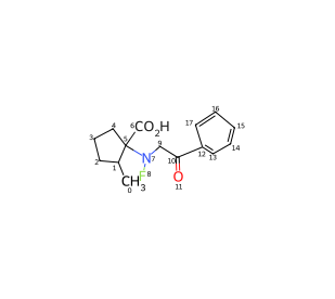 CC1CCCC1(C(=O)O)N(F)CC(=O)c1ccccc1